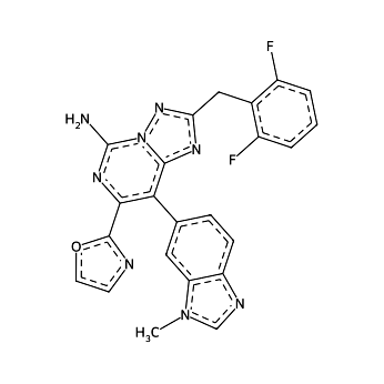 Cn1cnc2ccc(-c3c(-c4ncco4)nc(N)n4nc(Cc5c(F)cccc5F)nc34)cc21